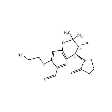 CCCOc1cc2c(cc1C=O)[C@H](N1CCCC1=O)[C@@H](O)C(C)(C)O2